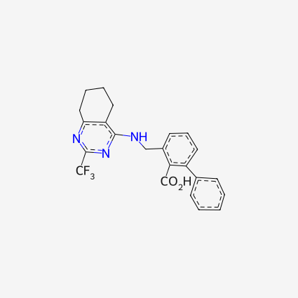 O=C(O)c1c(CNc2nc(C(F)(F)F)nc3c2CCCC3)cccc1-c1ccccc1